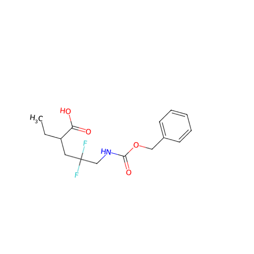 CCC(CC(F)(F)CNC(=O)OCc1ccccc1)C(=O)O